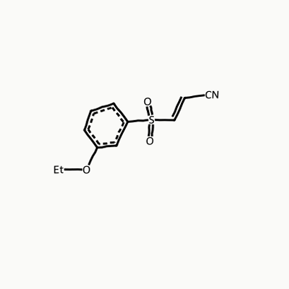 CCOc1cccc(S(=O)(=O)C=CC#N)c1